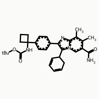 Cc1c(C(N)=O)cn2c(C3C=CC=CC3)c(-c3ccc(C4(NC(=O)OC(C)(C)C)CCC4)cc3)nc2c1C